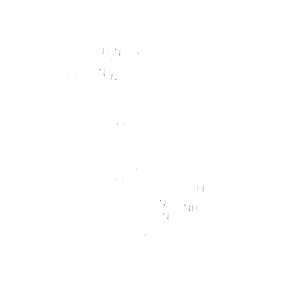 Cc1nn(CC(C)N)c2cc(OC(=O)/C=C/C(=O)Oc3ccc4c(C)nn(CC(C)N)c4c3)ccc12